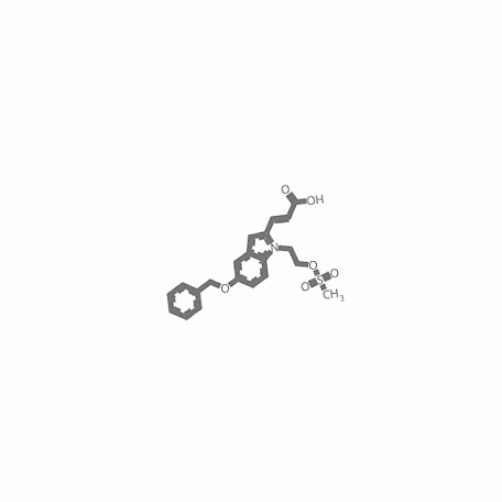 CS(=O)(=O)OCCn1c(/C=C/C(=O)O)cc2cc(OCc3ccccc3)ccc21